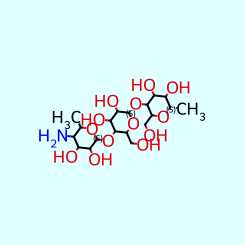 CC1O[C@@H](OC2C(CO)O[C@@H](OC3C(CO)O[C@@H](C)C(O)C3O)C(O)C2O)C(O)C(O)C1N